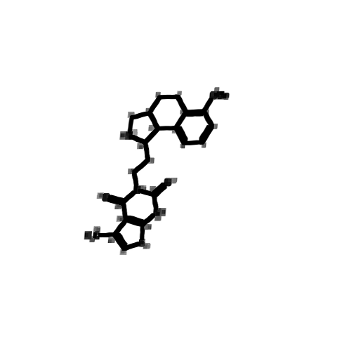 COc1cccc2c1CCC1CNC(CCn3c(=O)[nH]c4scc(C)c4c3=O)C21